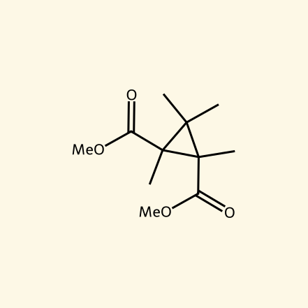 COC(=O)C1(C)C(C)(C)C1(C)C(=O)OC